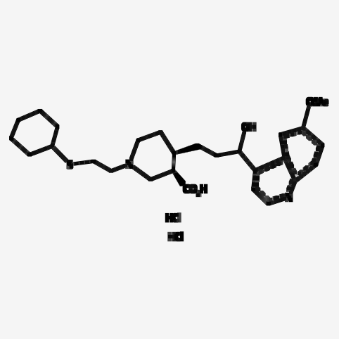 COc1ccc2nccc(C(O)CC[C@@H]3CCN(CCSC4CCCCC4)C[C@@H]3C(=O)O)c2c1.Cl.Cl